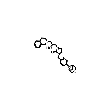 O=C1N(Cc2ccc(N3C4COCC3C4)cn2)CCN1CC(O)CN1CCc2ccccc2C1